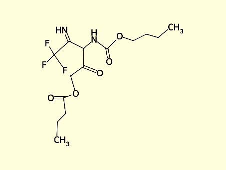 CCCCOC(=O)NC(C(=N)C(F)(F)F)C(=O)COC(=O)CCC